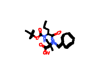 CCCC(NC(=O)OC(C)(C)C)C(=O)N(Cc1ccccc1)C(C)(C)C(=O)O